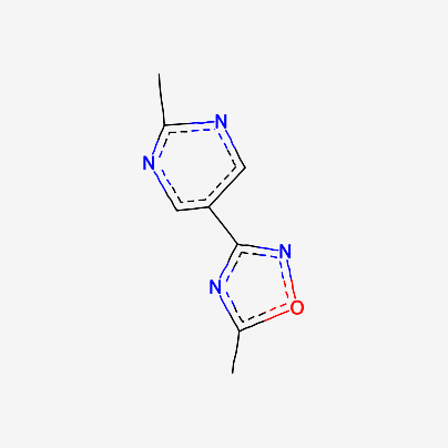 Cc1ncc(-c2noc(C)n2)cn1